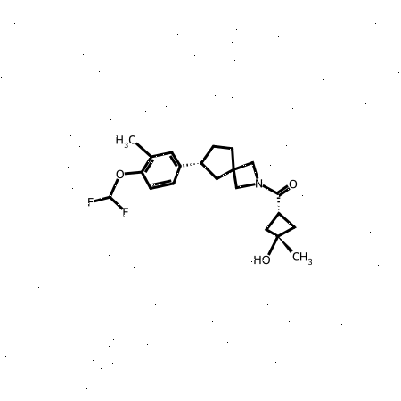 Cc1cc([C@@H]2CCC3(C2)CN(C(=O)[C@H]2C[C@@](C)(O)C2)C3)ccc1OC(F)F